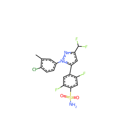 Cc1cc(-n2nc(C(F)F)cc2-c2cc(F)c(S(N)(=O)=O)cc2F)ccc1Cl